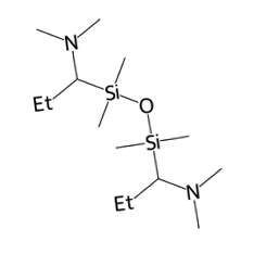 CCC(N(C)C)[Si](C)(C)O[Si](C)(C)C(CC)N(C)C